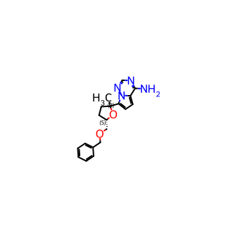 C[C@]1(c2ccc3c(N)ncnn23)CC[C@@H](COCc2ccccc2)O1